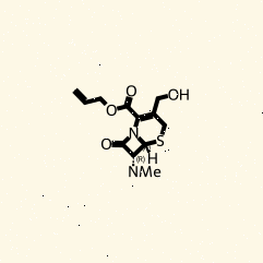 C=CCOC(=O)C1=C(CO)CS[C@@H]2[C@H](NC)C(=O)N12